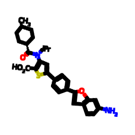 CC(C)N(c1cc(-c2ccc(-c3cc4ccc(N)cc4o3)cc2)sc1C(=O)O)C(=O)[C@H]1CC[C@H](C)CC1